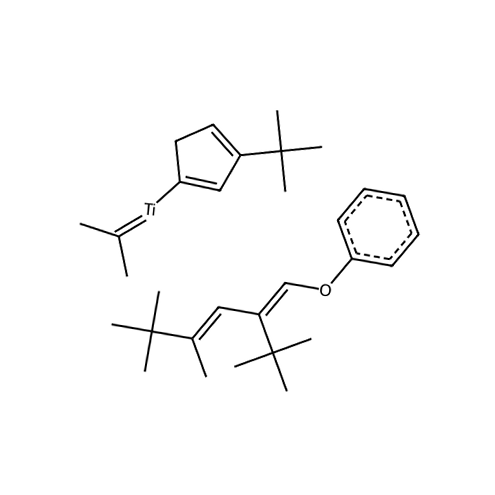 CC(=CC(=COc1ccccc1)C(C)(C)C)C(C)(C)C.C[C](C)=[Ti][C]1=CC(C(C)(C)C)=CC1